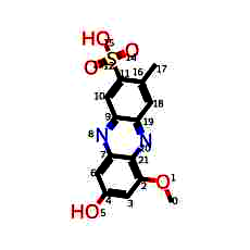 COc1cc(O)cc2nc3cc(S(=O)(=O)O)c(C)cc3nc12